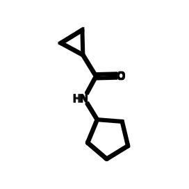 O=C(NC1CCCC1)C1CC1